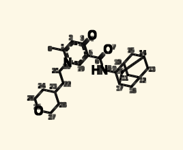 Cc1cc(=O)c(C(=O)NC2C3CC4CC(C3)CC2C4)cn1CCC1CCOCC1